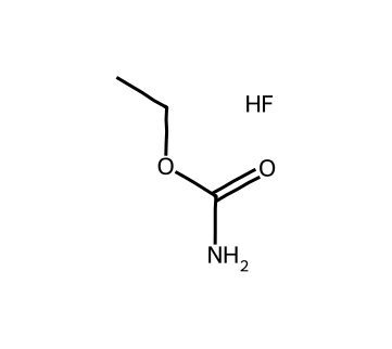 CCOC(N)=O.F